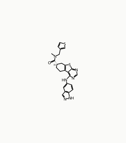 CN(Cc1ccsc1)C(=O)[C@H]1CCc2c(sc3ncnc(Nc4ccc5[nH]ncc5c4)c23)C1